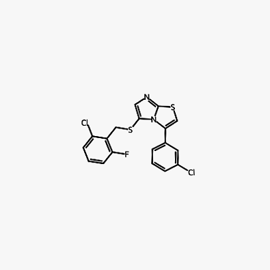 Fc1cccc(Cl)c1CSc1cnc2scc(-c3cccc(Cl)c3)n12